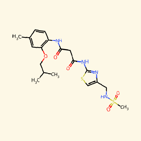 Cc1ccc(NC(=O)CC(=O)Nc2nc(CNS(C)(=O)=O)cs2)c(OCC(C)C)c1